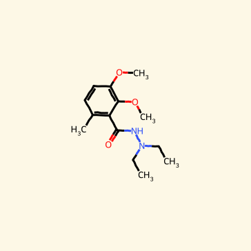 CCN(CC)NC(=O)c1c(C)ccc(OC)c1OC